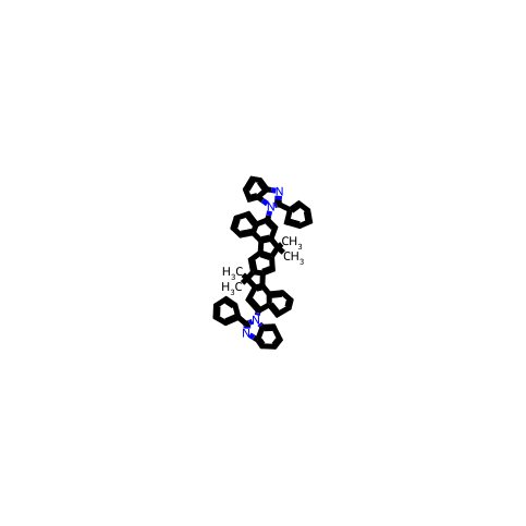 CC1(C)c2cc3c(cc2-c2c1cc(-n1c(-c4ccccc4)nc4ccccc41)c1ccccc21)C(C)(C)c1cc(-n2c(-c4ccccc4)nc4ccccc42)c2ccccc2c1-3